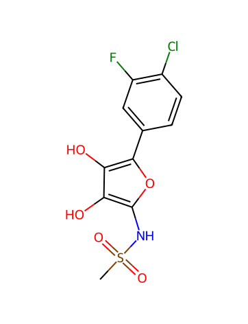 CS(=O)(=O)Nc1oc(-c2ccc(Cl)c(F)c2)c(O)c1O